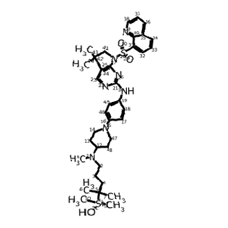 CN(CCCC(C)(C)[Si](C)(C)O)C1CCN(c2ccc(Nc3ncc4c(n3)N(S(=O)(=O)c3cccc5cccnc35)CC4(C)C)cc2)CC1